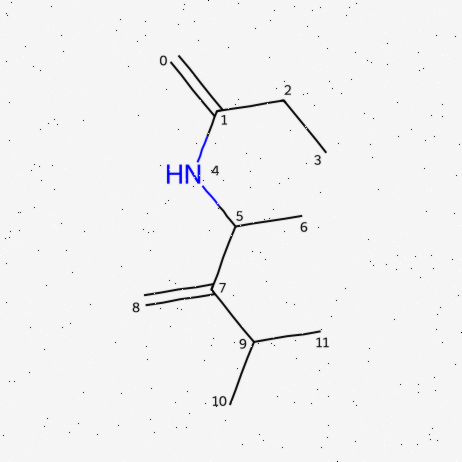 C=C(CC)NC(C)C(=C)C(C)C